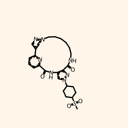 CS(=O)(=O)C1CCC(n2cc3c(n2)C(=O)NCCCCCCn2cc(cn2)-c2cccc(n2)C(=O)N3)CC1